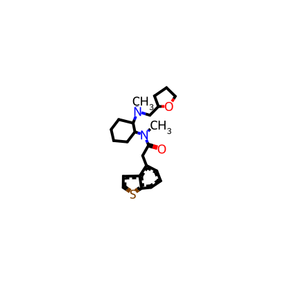 CN(CC1CCCO1)C1CCCCC1N(C)C(=O)Cc1cccc2sccc12